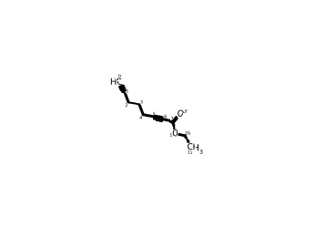 C#CCCCC#CC(=O)OCC